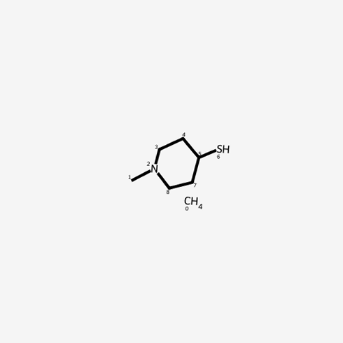 C.CN1CCC(S)CC1